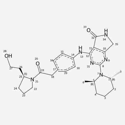 C[C@@H]1CCC[C@@H](C)N1c1nc2c(c(Nc3ccc(CC(=O)N4CCC[C@H]4CCO)cc3)n1)C(=O)NC2